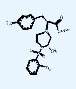 COC(=O)[C@H](Cc1ccc(C(F)(F)F)cc1)N1CCN(S(=O)(=O)c2ccccc2[N+](=O)[O-])[C@@H](C)C1